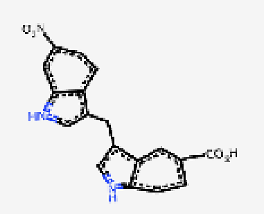 O=C(O)c1ccc2[nH]cc(Cc3c[nH]c4cc([N+](=O)[O-])ccc34)c2c1